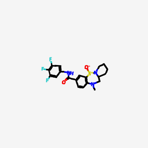 CN1CC2CCCCN2[S+]([O-])c2cc(C(=O)Nc3cc(F)c(F)c(F)c3)ccc21